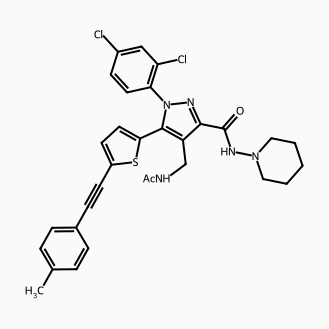 CC(=O)NCc1c(C(=O)NN2CCCCC2)nn(-c2ccc(Cl)cc2Cl)c1-c1ccc(C#Cc2ccc(C)cc2)s1